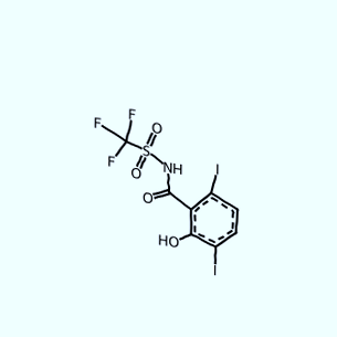 O=C(NS(=O)(=O)C(F)(F)F)c1c(I)ccc(I)c1O